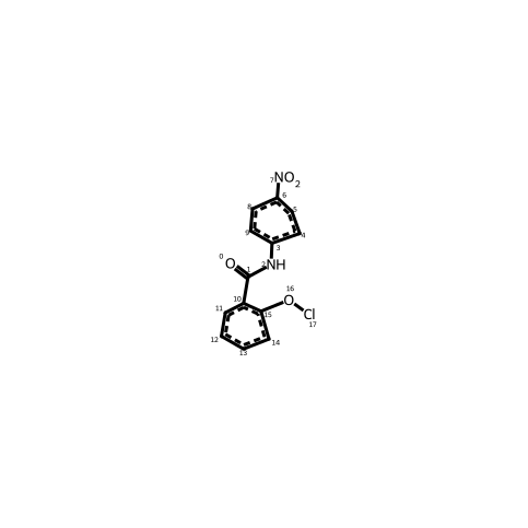 O=C(Nc1ccc([N+](=O)[O-])cc1)c1ccccc1OCl